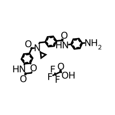 Nc1ccc(NC(=O)c2ccc(CN(C(=O)c3ccc4c(c3)OCC(=O)N4)C3CC3)cc2)cc1.O=C(O)C(F)(F)F